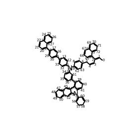 C/C=C(\C=C/Cc1ccc(N(c2ccc(-c3ccc(-c4cccc5ccccc45)cc3)cc2)c2cccc(-c3cccc4c3c3cc5ccccc5cc3n4C3=CCCC=C3)c2)cc1)c1cccc2ccccc12